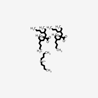 CCCCC(CC)CC(S)(CC(CC)CCCC)C(=O)[O-].CCCCC(CC)CC(S)(CC(CC)CCCC)C(=O)[O-].CCC[CH2][Sn+2][CH2]CCC